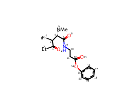 CCC(=O)C(C(C)C)[C@H](NC)C(=O)NCCC(=O)Oc1ccccc1